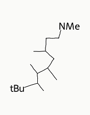 CNCCC(C)CC(C)C(C)C(C)C(C)(C)C